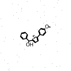 COc1ccc(-c2ccc(C(O)c3ccccc3)s2)cc1